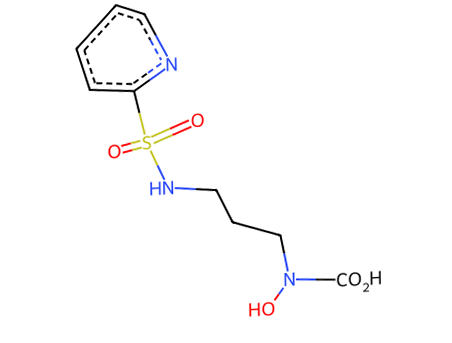 O=C(O)N(O)CCCNS(=O)(=O)c1ccccn1